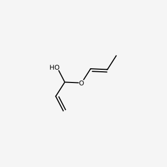 C=CC(O)OC=CC